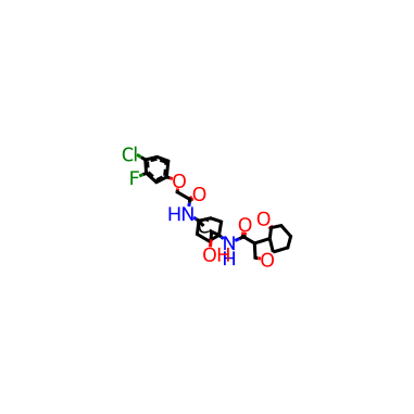 O=C(COc1ccc(Cl)c(F)c1)NC12CCC(NC(=O)C3COC4CCCC(=O)C43)(CC1)C(O)C2